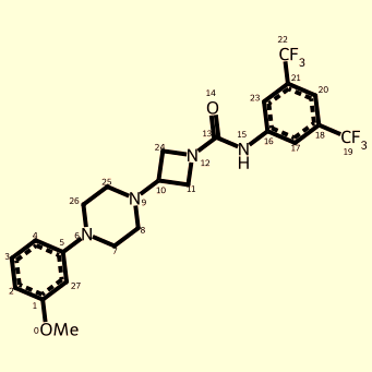 COc1cccc(N2CCN(C3CN(C(=O)Nc4cc(C(F)(F)F)cc(C(F)(F)F)c4)C3)CC2)c1